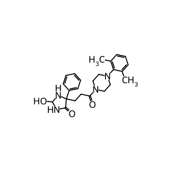 Cc1cccc(C)c1N1CCN(C(=O)CCC2(c3ccccc3)NC(O)NC2=O)CC1